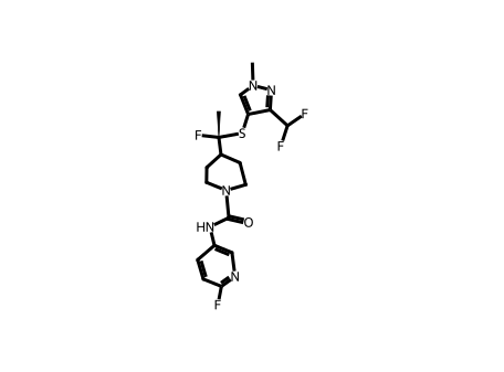 Cn1cc(S[C@@](C)(F)C2CCN(C(=O)Nc3ccc(F)nc3)CC2)c(C(F)F)n1